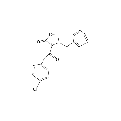 O=C(Cc1ccc(Cl)cc1)N1C(=O)OCC1Cc1ccccc1